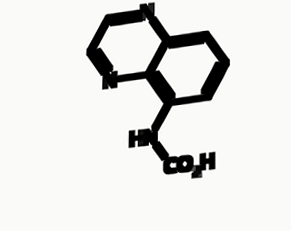 O=C(O)Nc1cccc2nccnc12